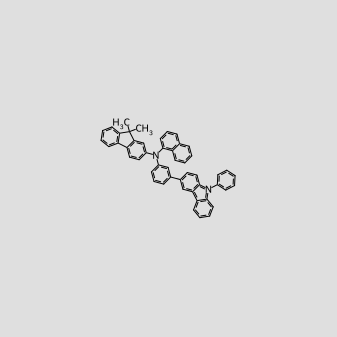 CC1(C)c2ccccc2-c2ccc(N(c3cccc(-c4ccc5c(c4)c4ccccc4n5-c4ccccc4)c3)c3cccc4ccccc34)cc21